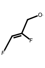 [O]CC(F)=CF